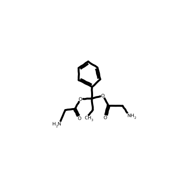 CCC(OC(=O)CN)(OC(=O)CN)c1ccccc1